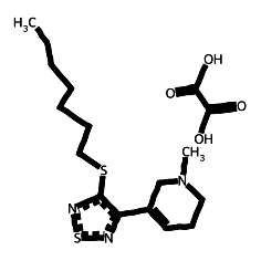 CCCCCCCSc1nsnc1C1=CCCN(C)C1.O=C(O)C(=O)O